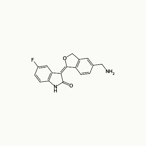 NCc1ccc2c(c1)CO/C2=C1/C(=O)Nc2ccc(F)cc21